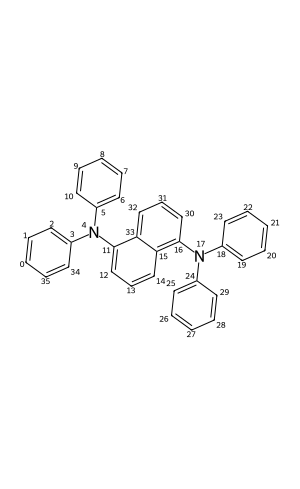 c1ccc(N(c2ccccc2)c2cccc3c(N(c4ccccc4)c4ccccc4)cccc23)cc1